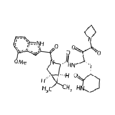 COc1cccc2[nH]c(C(=O)N3C[C@H]4[C@@H]([C@H]3C(=O)N[C@@H](C[C@@H]3CCCNC3=O)C(=O)C(=O)N3CCC3)C4(C)C)cc12